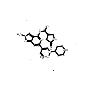 C=C/C(=C\N(C)C1CCNCC1)c1cc2nn(C)cc2c(OC(C)C2CNC(=O)C2)n1